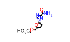 NC(=O)c1ncn([C@H]2CC[C@@H](COCC(=O)O)O2)n1